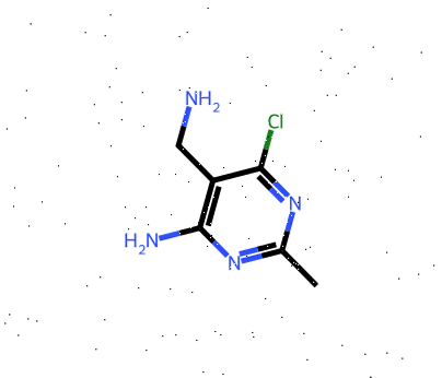 Cc1nc(N)c(CN)c(Cl)n1